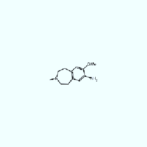 COc1cc2c(cc1N)CCN(C)CC2